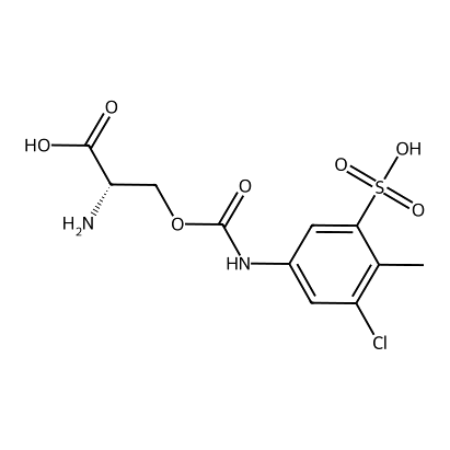 Cc1c(Cl)cc(NC(=O)OC[C@H](N)C(=O)O)cc1S(=O)(=O)O